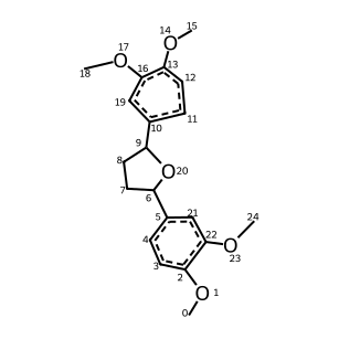 COc1ccc(C2CCC(c3ccc(OC)c(OC)c3)O2)cc1OC